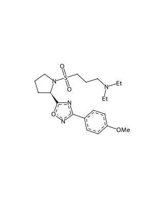 CCN(CC)CCCS(=O)(=O)N1CCC[C@@H]1c1nc(-c2ccc(OC)cc2)no1